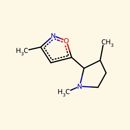 Cc1cc(C2C(C)CCN2C)on1